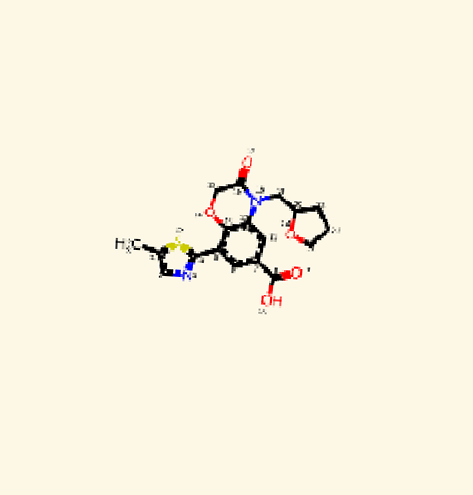 Cc1cnc(-c2cc(C(=O)O)cc3c2OCC(=O)N3CC2CCCO2)s1